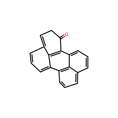 O=C1CC=c2cccc3c2c1c1cccc2cccc3c21